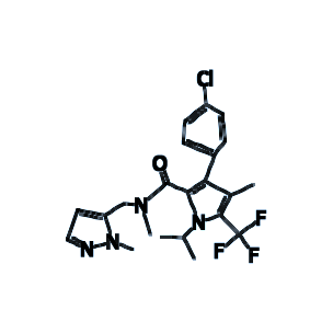 Cc1c(-c2ccc(Cl)cc2)c(C(=O)N(C)Cc2ccnn2C)n(C(C)C)c1C(F)(F)F